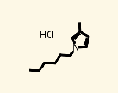 CCCCCCn1ccc(C)c1.Cl